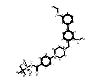 CCOc1cccc(-c2ccc(CN3CCN(c4ccc(C(=O)NS(=O)(=O)C(C)(C)C)cc4)CC3)c(OC)c2)c1